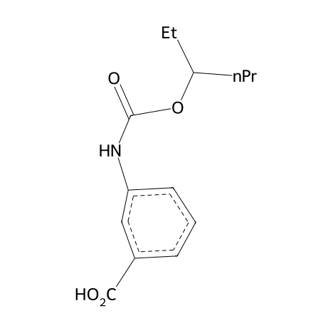 CCCC(CC)OC(=O)Nc1cccc(C(=O)O)c1